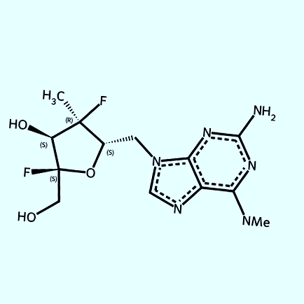 CNc1nc(N)nc2c1ncn2C[C@@H]1O[C@](F)(CO)[C@@H](O)[C@@]1(C)F